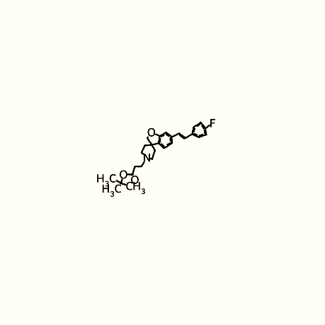 CC(C)(C)OC(=O)CCN1CCC2(CC1)COc1cc(C=Cc3ccc(F)cc3)ccc12